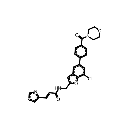 O=C(/C=C/c1cscn1)NCc1cc2cc(-c3ccc(C(=O)N4CCOCC4)cc3)cc(Cl)c2o1